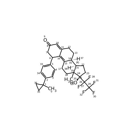 CC1(c2ccc(C3CC(=O)C=C4CC[C@@H]5C(=C43)CCC3(C)[C@@H]5CC[C@]3(O)C(F)(F)C(F)(F)F)cc2)CC1